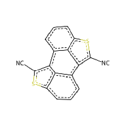 [C-]#[N+]c1sc2cccc3c4c(C#N)sc5cccc(c1c23)c54